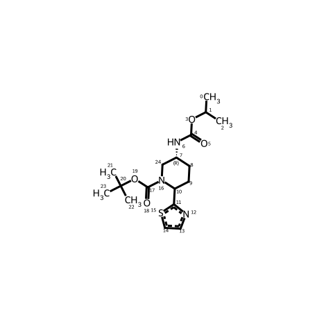 CC(C)OC(=O)N[C@@H]1CCC(c2nccs2)N(C(=O)OC(C)(C)C)C1